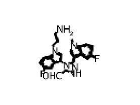 Cn1cc(C2=NNC(C=O)N2c2cn(CCCN)c3ccc(F)cc23)c2cc(F)ccc21